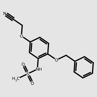 CS(=O)(=O)Nc1cc(OCC#N)ccc1OCc1ccccc1